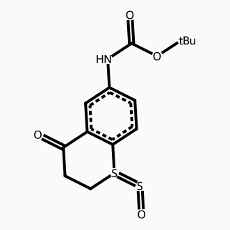 CC(C)(C)OC(=O)Nc1ccc2c(c1)C(=O)CCS2=S=O